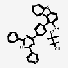 CC(C)(O)C(C)(C)OBc1ccc2sc3ccccc3c2c1-c1ccc(C2=NC(c3ccccc3)NC(c3ccccc3)=N2)cc1